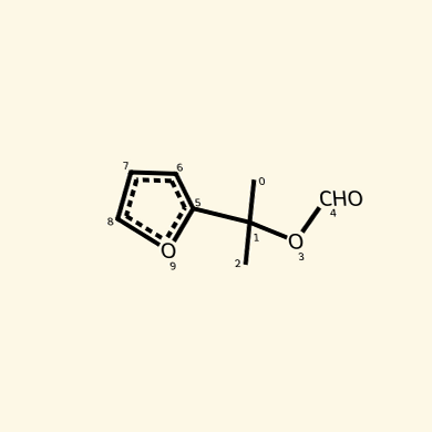 CC(C)(OC=O)c1ccco1